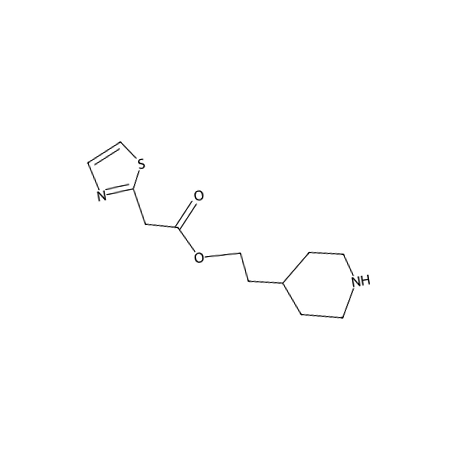 O=C(Cc1nccs1)OCCC1CCNCC1